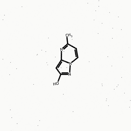 Cc1ccn2nc(O)cc2n1